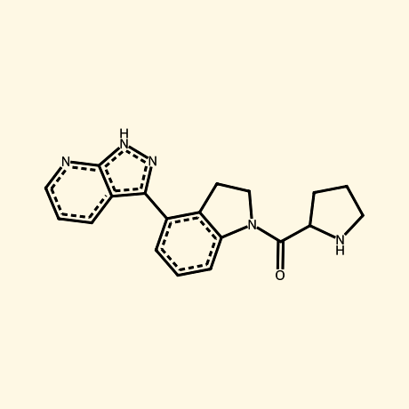 O=C(C1CCCN1)N1CCc2c(-c3n[nH]c4ncccc34)cccc21